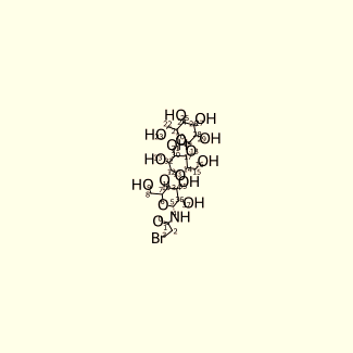 O=C(CBr)N[C@@H]1OC(CO)[C@@H](O[C@H]2OC(CO)[C@@H](O[C@H]3OC(CO)[C@@H](O)[C@H](O)C3O)[C@H](O)C2O)C(O)[C@@H]1O